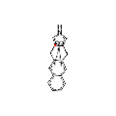 CC1(C)OC2C3c4c[nH]cc4C(c4cc5ccccc5cc43)C2O1